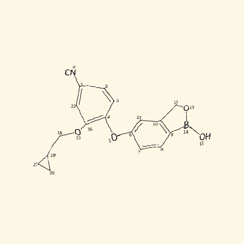 [C-]#[N+]c1ccc(Oc2ccc3c(c2)COB3O)c(OCC2CC2)c1